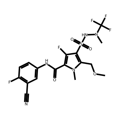 COCc1c(S(=O)(=O)NN(C)C(F)(F)F)c(F)c(C(=O)Nc2ccc(F)c(C#N)c2)n1C